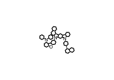 c1ccc(N(c2ccccc2)c2cccc3oc4ccc(-n5c6cc7c(cc6c6c8ccccc8ccc65)c5ccccc5n7-c5ccc(-c6cccc7ccccc67)cc5)cc4c23)cc1